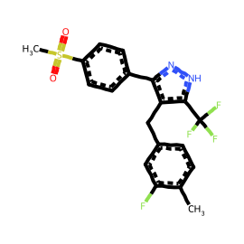 Cc1ccc(Cc2c(-c3ccc(S(C)(=O)=O)cc3)n[nH]c2C(F)(F)F)cc1F